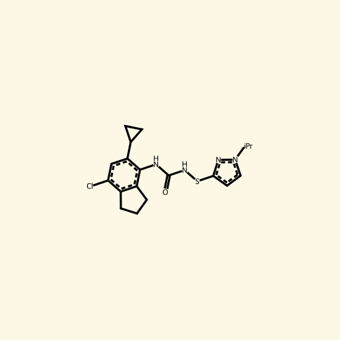 CC(C)n1ccc(SNC(=O)Nc2c(C3CC3)cc(Cl)c3c2CCC3)n1